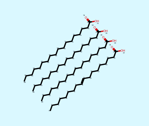 CCCCCCCCC=CCCCCCCCC(=O)O.CCCCCCCCCCCCCCCCCC(=O)O.CCCCCCCCCCCCCCCCCC(=O)O.CCCCCCCCCCCCCCCCCC(=O)O